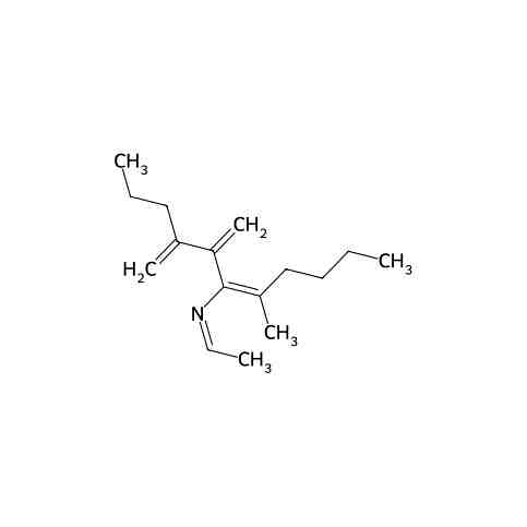 C=C(CCC)C(=C)C(/N=C\C)=C(/C)CCCC